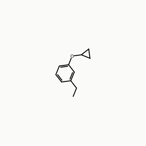 CCc1cccc(OC2CC2)c1